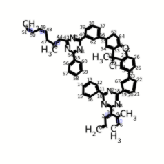 C=C/C=C(\C(C)=C/C)c1nc(-c2ccccc2)nc(-c2cccc(-c3ccc4c(c3)C(C)(C)C3=CC(c5cccc(-c6nc(/C=C(\C)C/C=C\C=C/C)nc(-c7ccccc7)n6)c5)CC=C3O4)c2)n1